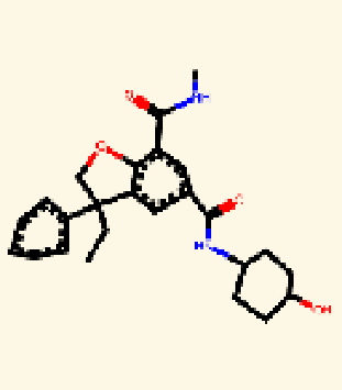 CCC1(c2ccccc2)COc2c(C(=O)NC)cc(C(=O)NC3CCC(O)CC3)cc21